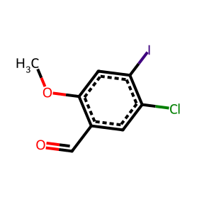 COc1cc(I)c(Cl)cc1C=O